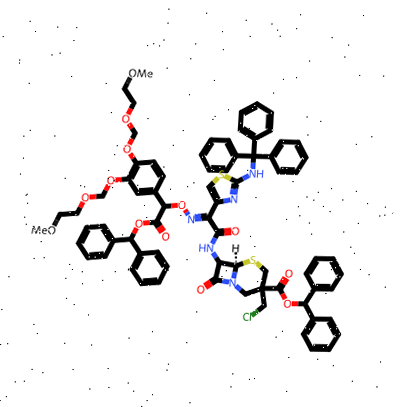 COCCOCOc1ccc(C(ON=C(C(=O)NC2C(=O)N3CC(CCl)(C(=O)OC(c4ccccc4)c4ccccc4)CS[C@H]23)c2csc(NC(c3ccccc3)(c3ccccc3)c3ccccc3)n2)C(=O)OC(c2ccccc2)c2ccccc2)cc1OCOCCOC